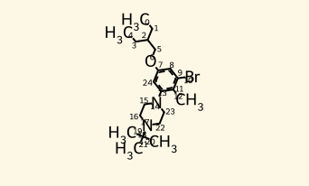 CCC(CC)COc1cc(Br)c(C)c(N2CCN(C(C)(C)C)CC2)c1